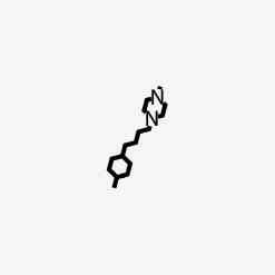 C[C]1CCC(CCCCN2CCN(C)CC2)CC1